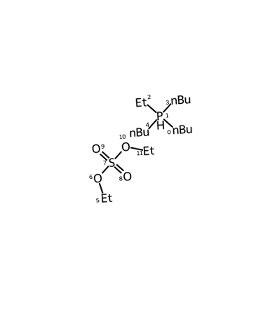 CCCC[PH](CC)(CCCC)CCCC.CCOS(=O)(=O)OCC